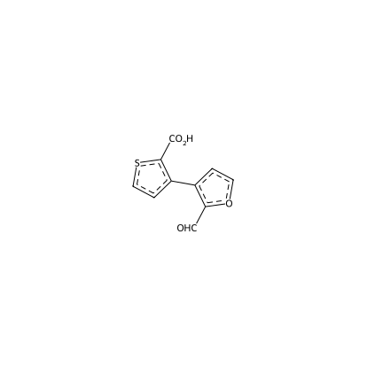 O=Cc1occc1-c1ccsc1C(=O)O